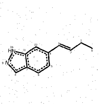 CC/C=C/c1ccc2cn[nH]c2c1